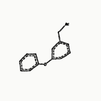 CC(=O)Cc1cccc(Oc2ccccc2)c1